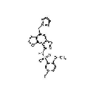 COc1ccc(F)cc1S(=O)(=O)Nc1noc2cc(Cn3cccn3)c3c(c12)OCO3